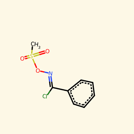 CS(=O)(=O)O/N=C(\Cl)c1ccccc1